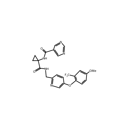 COc1ccc(Oc2ccc(CNC(=O)C3(NC(=O)c4cncnc4)CC3)nc2)c(C(F)(F)F)c1